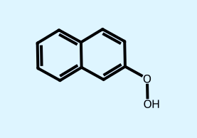 OOc1ccc2ccccc2c1